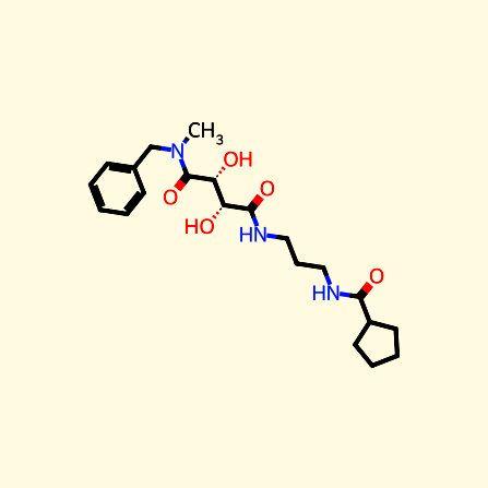 CN(Cc1ccccc1)C(=O)[C@H](O)[C@@H](O)C(=O)NCCCNC(=O)C1CCCC1